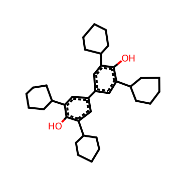 Oc1c(C2CCCCC2)cc(-c2cc(C3CCCCC3)c(O)c(C3CCCCC3)c2)cc1C1CCCCC1